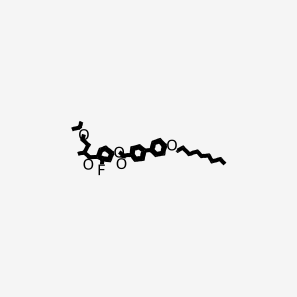 CCCCCCCCCOc1ccc(-c2ccc(C(=O)Oc3ccc(C(=O)C(C)CCOC(C)C)c(F)c3)cc2)cc1